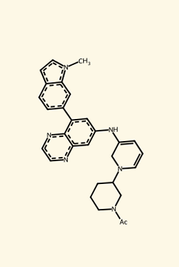 CC(=O)N1CCCC(N2C=CC=C(Nc3cc(-c4ccc5ccn(C)c5c4)c4nccnc4c3)C2)C1